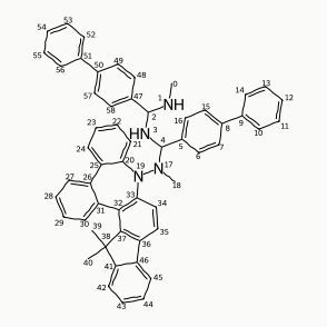 CNC(NC(c1ccc(-c2ccccc2)cc1)N(C)N1c2ccccc2-c2ccccc2-c2c1ccc1c2C(C)(C)c2ccccc2-1)c1ccc(-c2ccccc2)cc1